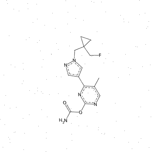 Cc1cnc(OC(N)=O)nc1-c1cnn(CC2(CF)CC2)c1